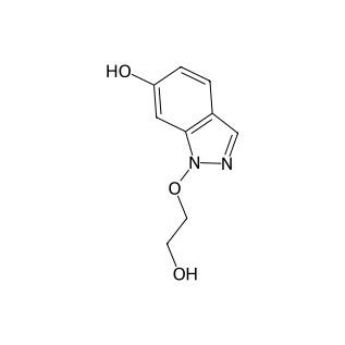 OCCOn1ncc2ccc(O)cc21